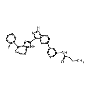 CCCC(=O)Nc1cncc(-c2ccc3[nH]nc(-c4cc5c(-c6ccccc6F)nccc5[nH]4)c3c2)c1